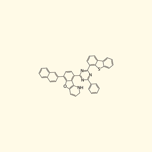 C1=Cc2oc3c(-c4ccc5ccccc5c4)ccc(-c4nc(-c5ccccc5)nc(-c5cccc6c5sc5ccccc56)n4)c3c2NC1